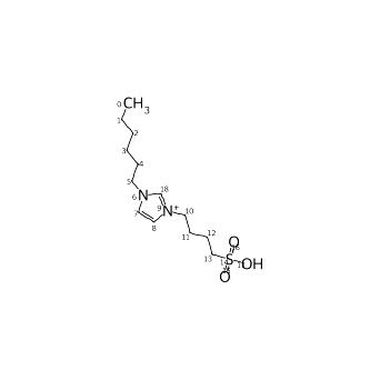 CCCCCCn1cc[n+](CCCCS(=O)(=O)O)c1